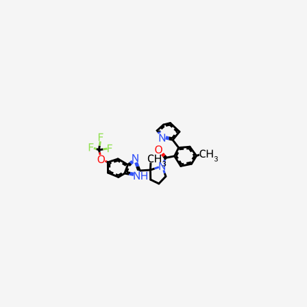 Cc1ccc(C(=O)N2CCCC2(C)c2nc3cc(OC(F)(F)F)ccc3[nH]2)c(-c2ccccn2)c1